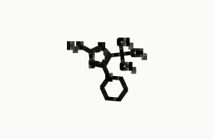 CC(C)(C)c1nc(N)sc1N1CCCCC1